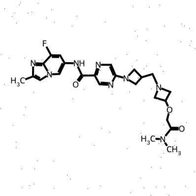 Cc1cn2cc(NC(=O)c3cnc(N4CC(CN5CC(OCC(=O)N(C)C)C5)C4)cn3)cc(F)c2n1